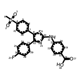 CS(=O)(=O)c1ccc(-c2sc(Nc3ccc(C(=O)O)cc3)nc2-c2ccc(F)cc2)cc1